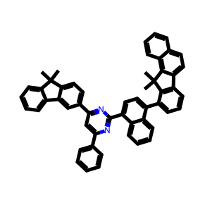 CC1(C)c2ccccc2-c2cc(-c3cc(-c4ccccc4)nc(-c4ccc(-c5cccc6c5C(C)(C)c5c-6ccc6ccccc56)c5ccccc45)n3)ccc21